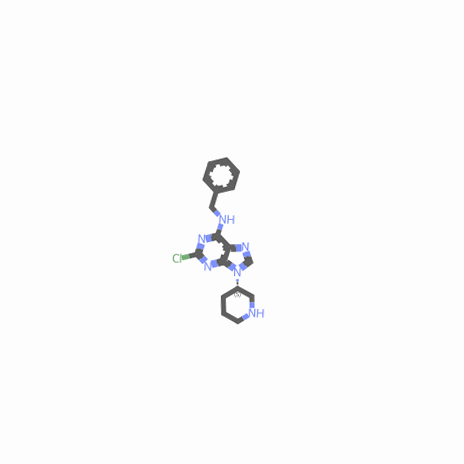 Clc1nc(NCc2ccccc2)c2ncn([C@H]3CCCNC3)c2n1